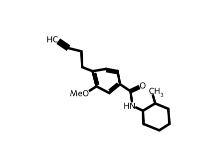 C#CCCc1ccc(C(=O)NC2CCCCC2C)cc1OC